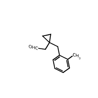 Cc1ccccc1CC1(CC=O)CC1